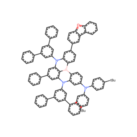 CC(C)(C)c1ccc(N(c2ccc(C(C)(C)C)cc2)c2ccc3c(c2)N(c2cc(-c4ccccc4)cc(-c4ccccc4)c2)c2cc(-c4ccccc4)cc4c2B3c2ccc(-c3ccc5oc6ccccc6c5c3)cc2N4c2cc(-c3ccccc3)cc(-c3ccccc3)c2)cc1